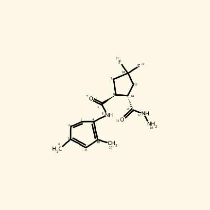 Cc1ccc(NC(=O)[C@H]2CC(F)(F)C[C@@H]2C(=O)NN)c(C)c1